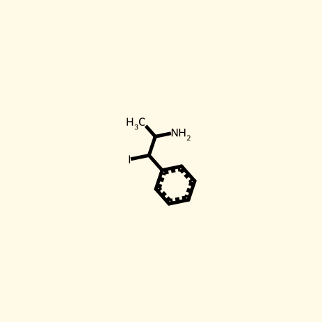 CC(N)C(I)c1ccccc1